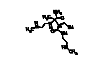 CNCCNC(=O)[C@H](CS)C(C)(NCCNC)C(N)=O